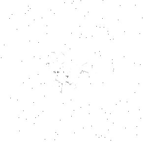 COc1c(F)cccc1-c1nc(C)c(I)c(=O)n1CCc1ccccc1